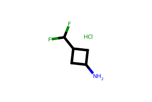 Cl.NC1CC(C(F)F)C1